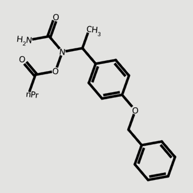 CCCC(=O)ON(C(N)=O)C(C)c1ccc(OCc2ccccc2)cc1